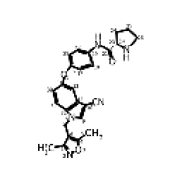 Cc1noc(C)c1Cn1cc(C#N)c2cc(Oc3ccc(NC(=O)[C@@H]4CCCN4)cc3)ccc21